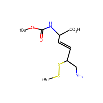 CC(C)(C)OC(=O)NC(C=CC(CN)SSC(C)(C)C)C(=O)O